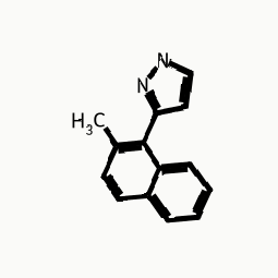 Cc1ccc2ccccc2c1C1=N[N]C=C1